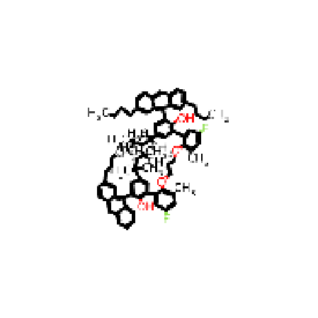 CCCCc1ccc2cc3ccccc3c(-c3cc(C(C)(C)CC(C)(C)C)cc(-c4cc(F)cc(C)c4OCCCOc4c(C)cc(F)cc4-c4cc(C(C)(C)CC(C)(C)C)cc(-c5c6cc(CCCC)ccc6cc6ccc(CCCC)cc56)c4O)c3O)c2c1